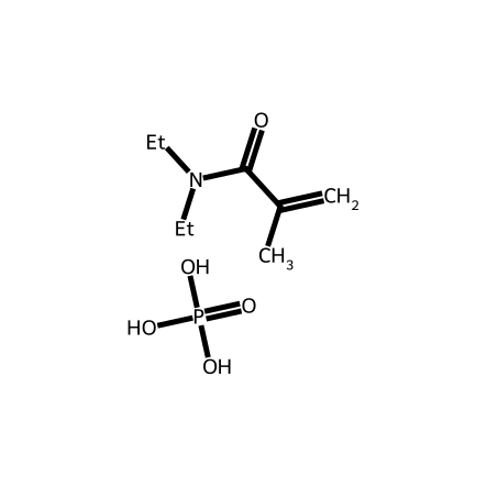 C=C(C)C(=O)N(CC)CC.O=P(O)(O)O